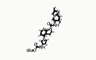 Cc1cn2cc(NC(=O)N3CCc4c(N5CC[C@@H](NC(=O)OC(C)(C)C)C5)ccnc43)c(F)cc2n1